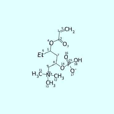 C=CC(=O)OC(CC)CC(C[N+](C)(C)C)OP(=O)([O-])O